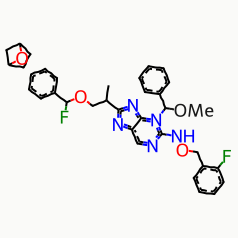 C1CC2CC1O2.COC(c1ccccc1)n1c(NOCc2ccccc2F)ncc2nc(C(C)COC(F)c3ccccc3)nc1-2